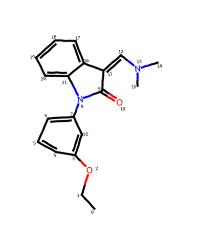 CCOc1cccc(N2C(=O)/C(=C\N(C)C)c3ccccc32)c1